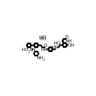 Cl.Cl.NC1CCC(N(C(=O)O)c2cc(CCC(=O)Nc3ccc(CNC[C@H](O)c4ccc(O)c5[nH]c(=O)ccc45)cc3)ccc2-c2ccccc2)CC1